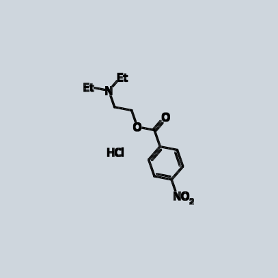 CCN(CC)CCOC(=O)c1ccc([N+](=O)[O-])cc1.Cl